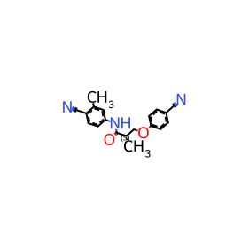 Cc1cc(NC(=O)[C@@H](C)COc2ccc(C#N)cc2)ccc1C#N